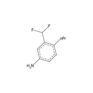 CCCc1ccc(N)cc1C(F)F